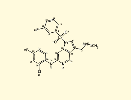 CNCc1cn(S(=O)(=O)c2cccc(F)c2)c2cc(Nc3ccc(F)cc3Cl)ncc12